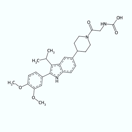 COc1ccc(-c2[nH]c3ccc(C4CCN(C(=O)CNC(=O)O)CC4)cc3c2C(C)C)cc1OC